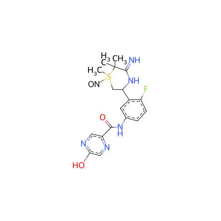 CC1(C)C(=N)NC(c2cc(NC(=O)c3cnc(O)cn3)ccc2F)CS1(C)N=O